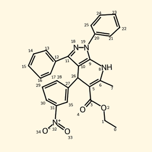 CCOC(=O)C1=C(C)Nc2c(c(-c3ccccc3)nn2-c2ccccc2)C1c1cccc([N+](=O)[O-])c1